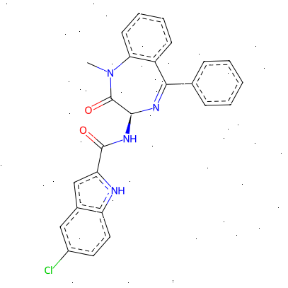 CN1C(=O)[C@H](NC(=O)c2cc3cc(Cl)ccc3[nH]2)N=C(c2ccccc2)c2ccccc21